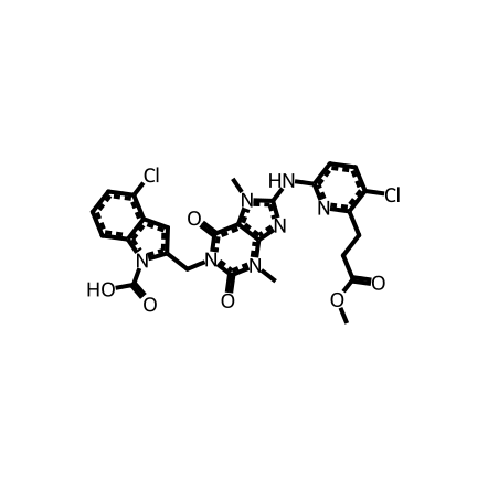 COC(=O)CCc1nc(Nc2nc3c(c(=O)n(Cc4cc5c(Cl)cccc5n4C(=O)O)c(=O)n3C)n2C)ccc1Cl